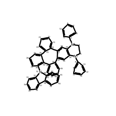 c1ccc(N2CCN(c3ccccc3)c3cc4c(cc32)-c2ccccc2-c2cccc(-n3c5ccccc5c5ccccc53)c2-c2ccccc2-4)cc1